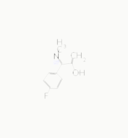 C=C(O)/C(=N\C)c1ccc(F)cc1